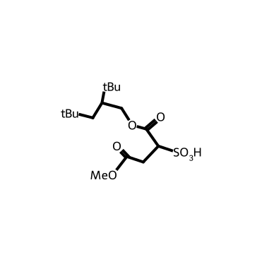 COC(=O)CC(C(=O)OCC(CC(C)(C)C)C(C)(C)C)S(=O)(=O)O